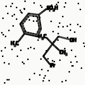 CC(C)CC(C)(C)CO.Cc1ccc(S(=O)(=O)O)cc1